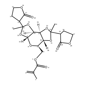 C=C(C)C(=O)OC[C@H]1O[C@@H]2OC(C)(C3CCOC3=O)O[C@H]2[C@H]2OC(C)(C3CCOC3=O)O[C@@H]21